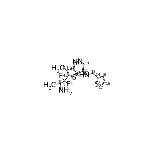 Cc1c(C(F)(F)C(C)N)sc2c(NCc3cccs3)cnnc12